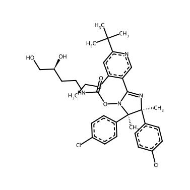 CCOc1cc(C(C)(C)C)ncc1C1=N[C@@](C)(c2ccc(Cl)cc2)[C@@](C)(c2ccc(Cl)cc2)N1OC(=O)NCC[C@H](O)CO